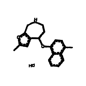 Cc1cc2c(o1)CNCCC2Oc1ccc(C)c2ccccc12.Cl